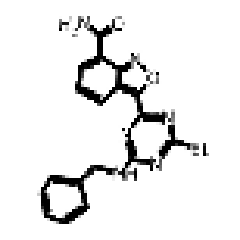 CCc1nc(NCc2ccccc2)nc(-c2onc3c(C(N)=O)cccc23)n1